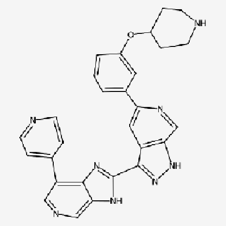 c1cc(OC2CCNCC2)cc(-c2cc3c(-c4nc5c(-c6ccncc6)cncc5[nH]4)n[nH]c3cn2)c1